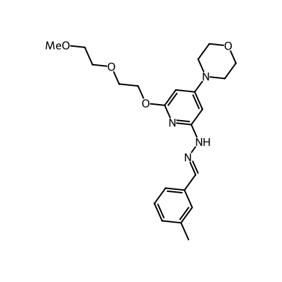 COCCOCCOc1cc(N2CCOCC2)cc(NN=Cc2cccc(C)c2)n1